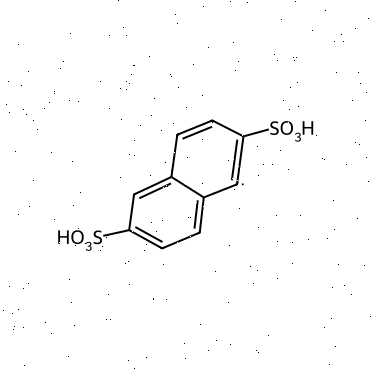 O=S(=O)(O)c1[c]c2ccc(S(=O)(=O)O)cc2cc1